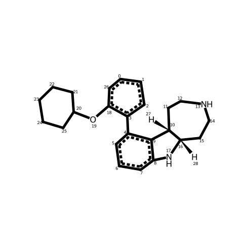 c1ccc(-c2cccc3c2[C@@H]2CCNCC[C@@H]2N3)c(OC2CCCCC2)c1